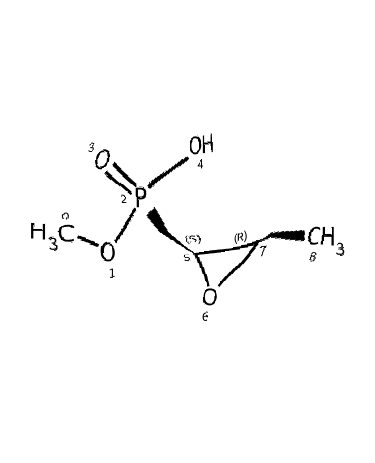 COP(=O)(O)[C@@H]1O[C@@H]1C